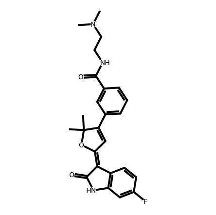 CN(C)CCNC(=O)c1cccc(C2=CC(=C3C(=O)Nc4cc(F)ccc43)OC2(C)C)c1